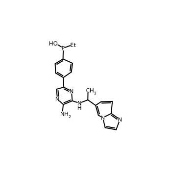 CCP(O)c1ccc(-c2cnc(N)c(NC(C)c3ccc4nccn4c3)n2)cc1